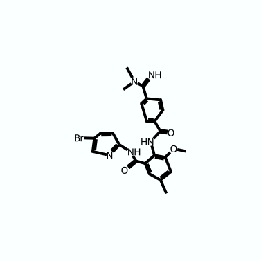 COc1cc(C)cc(C(=O)Nc2ccc(Br)cn2)c1NC(=O)c1ccc(C(=N)N(C)C)cc1